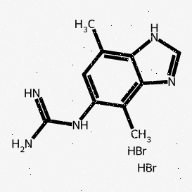 Br.Br.Cc1c(NC(=N)N)cc(C)c2[nH]cnc12